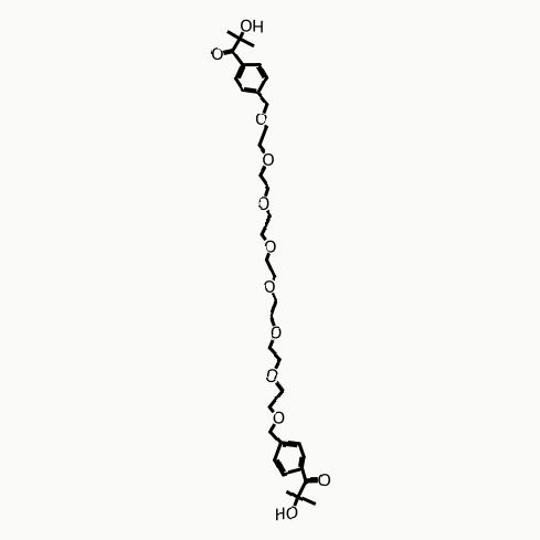 CC(C)(O)C(=O)c1ccc(COCCOCCOCCOCCOCCOCCOCCOCc2ccc(C(=O)C(C)(C)O)cc2)cc1